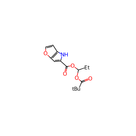 CCC(OC(=O)c1cc2occc2[nH]1)OC(=O)C(C)(C)C